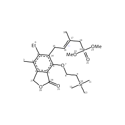 CCc1c(C)c2c(c(OCC[Si](C)(C)C)c1C/C=C(\C)CP(=O)(OC)OC)C(=O)OC2